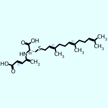 C=C(/C=C/C(=O)O)N[C@@H](CSC/C=C(\C)CC/C=C(\C)CCC=C(C)C)C(=O)O